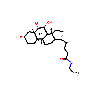 C[C@H](CCC(=O)NCC(=O)O)[C@H]1CC[C@H]2[C@@H]3[C@@H](O)[C@@H](O)[C@@H]4C[C@H](O)CC[C@]4(C)[C@H]3CC[C@]12C